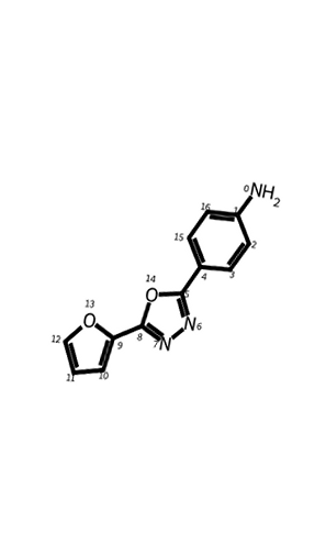 Nc1ccc(-c2nnc(-c3ccco3)o2)cc1